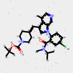 Cc1cncc2c1c(C=C1CCN(C(=O)OC(C)(C)C)CC1)cn2-c1ccc(F)cc1C(=O)N(C)C(C)C